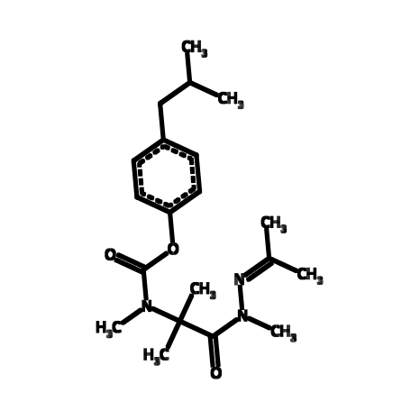 CC(C)=NN(C)C(=O)C(C)(C)N(C)C(=O)Oc1ccc(CC(C)C)cc1